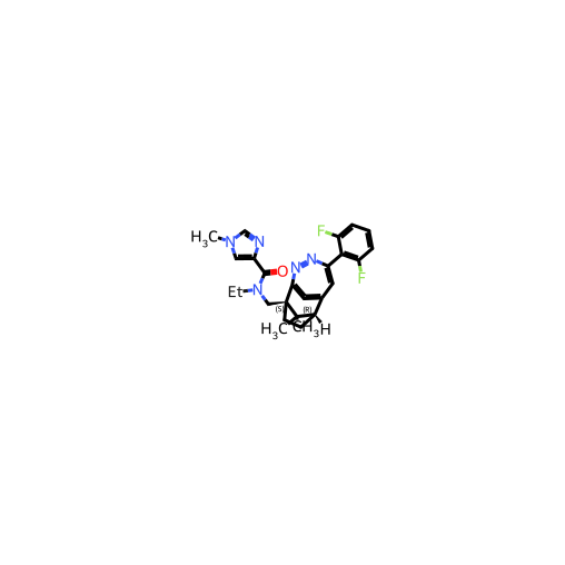 CCN(C[C@@]12CC[C@@H](C3=C=C1N=NC(c1c(F)cccc1F)=C3)C2(C)C)C(=O)c1cn(C)cn1